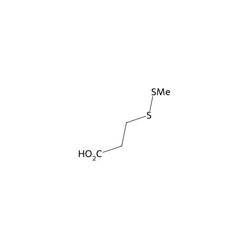 CSSCCC(=O)O